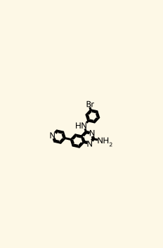 Nc1nc(Nc2cccc(Br)c2)c2cc(-c3ccncc3)ccc2n1